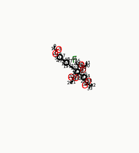 C=CC(=O)Oc1ccc(-c2ccc(C#Cc3cc(OC(=O)C=C)c(-c4ccc(OC(=O)C(=C)C)cc4)c(OC(=O)C=C)c3CCCF)cc2)cc1